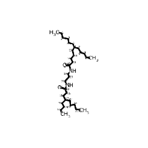 CCCCCCC(CCCCC)CCCCC(=O)NCCCNC(=O)CCC(CCCC)CCCCC